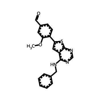 COc1cc(C=O)ccc1-c1cc2c(NCc3ccccc3)ncnc2s1